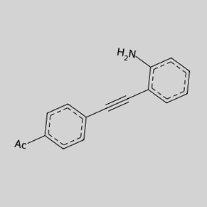 CC(=O)c1ccc(C#Cc2ccccc2N)cc1